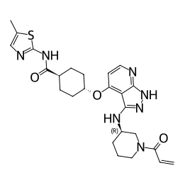 C=CC(=O)N1CCC[C@@H](Nc2n[nH]c3nccc(O[C@H]4CC[C@H](C(=O)Nc5ncc(C)s5)CC4)c23)C1